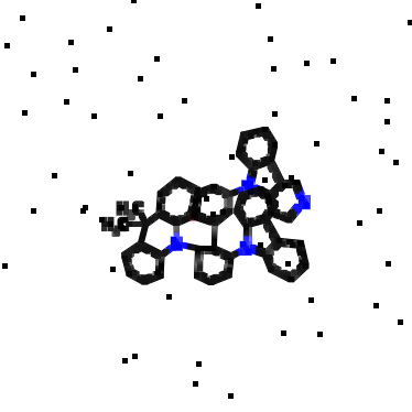 CC1(C)c2ccccc2N(c2cccc(-n3c4ccccc4c4ccccc43)c2-c2cccc(-n3c4ccccc4c4cnccc43)c2)c2ccccc21